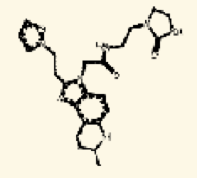 C[C@H]1CCc2c(ccc3c2nc(CCn2cccn2)n3CC(=O)NCCN2CCNC2=O)N1